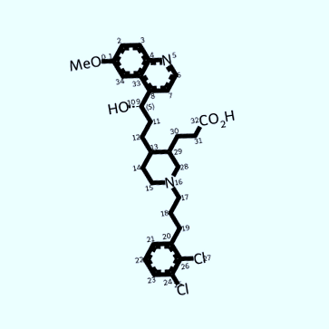 COc1ccc2nccc([C@@H](O)CCC3CCN(CCCc4cccc(Cl)c4Cl)CC3CCC(=O)O)c2c1